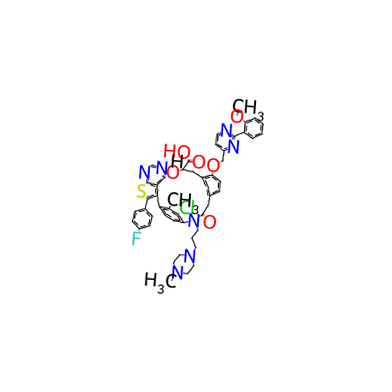 COc1ccccc1-c1nccc(COc2ccc3cc2C[C@H](C(=O)O)Oc2ncnc4sc(-c5ccc(F)cc5)c(c24)-c2ccc(c(Cl)c2C)N(CCCN2CCN(C)CC2)C(=O)C3)n1